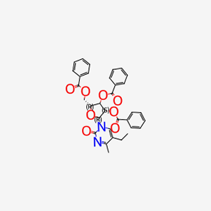 CCc1cn([C@@H]2O[C@H](COC(=O)c3ccccc3)C(OC(=O)c3ccccc3)[C@@H]2OC(=O)c2ccccc2)c(=O)nc1C